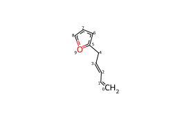 C=CC=CCc1ccco1